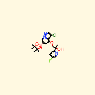 CC(O)(COc1cc(B2OC(C)(C)C(C)(C)O2)cn2ncc(Cl)c12)c1ccc(F)cn1